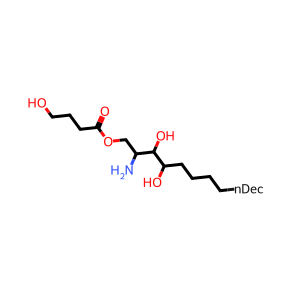 CCCCCCCCCCCCCCC(O)C(O)C(N)COC(=O)CCCO